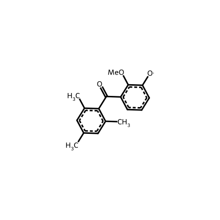 COc1c([O])cccc1C(=O)c1c(C)cc(C)cc1C